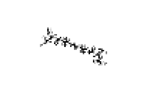 CC(C)C(=O)O[C@@H](C)OC(=O)NCCNCCNCCNC(=O)O[C@H](C)OC(=O)C(C)C